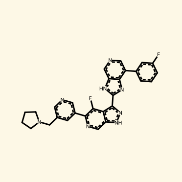 Fc1cccc(-c2cncc3[nH]c(-c4n[nH]c5cnc(-c6cncc(CN7CCCC7)c6)c(F)c45)nc23)c1